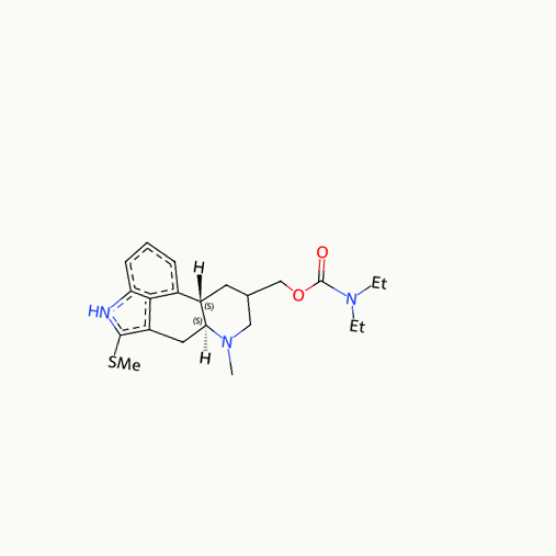 CCN(CC)C(=O)OCC1C[C@H]2c3cccc4[nH]c(SC)c(c34)C[C@@H]2N(C)C1